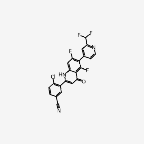 N#Cc1ccc(Cl)c(-c2cc(=O)c3c(F)c(-c4ccnc(C(F)F)c4)c(F)cc3[nH]2)c1